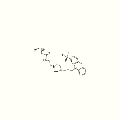 CC(=O)NCC(=O)NCCN1CCN(CCCN2c3ccccc3Sc3ccc(C(F)(F)F)cc32)CC1